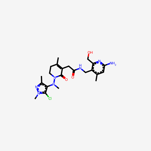 CC1=C(CC(=O)NCc2c(C)cc(N)nc2CO)C(=O)N(N(C)c2c(C)nn(C)c2Cl)CC1